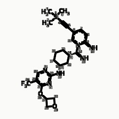 C[Si](C)(C)C#Cc1ccc(=N)n(C(=N)[C@H]2CCC[C@@H](Nc3ncc(C(F)(F)F)c(OC4COC4)n3)C2)c1